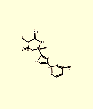 CN1C(=N)N[C@](C)(c2cc(-c3cncc(Br)c3)cs2)CC1=O